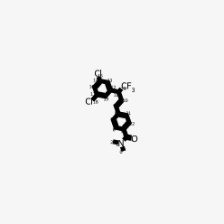 CN(C)C(=O)c1ccc(/C=C/C(c2cc(Cl)cc(Cl)c2)C(F)(F)F)cc1